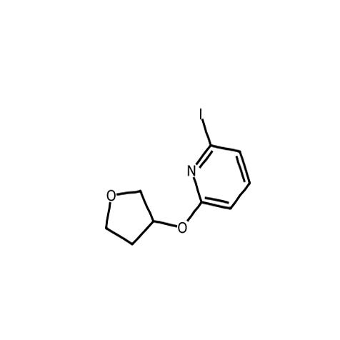 Ic1cccc(OC2CCOC2)n1